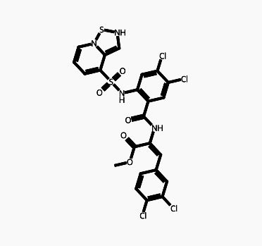 COC(=O)C(=Cc1ccc(Cl)c(Cl)c1)NC(=O)c1cc(Cl)c(Cl)cc1NS(=O)(=O)C1=CC=CN2SNC=C12